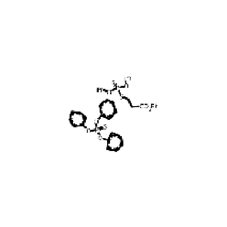 CCOC(=O)CCSP(=S)(OC(C)C)OC(C)C.S=P(Oc1ccccc1)(Oc1ccccc1)Oc1ccccc1